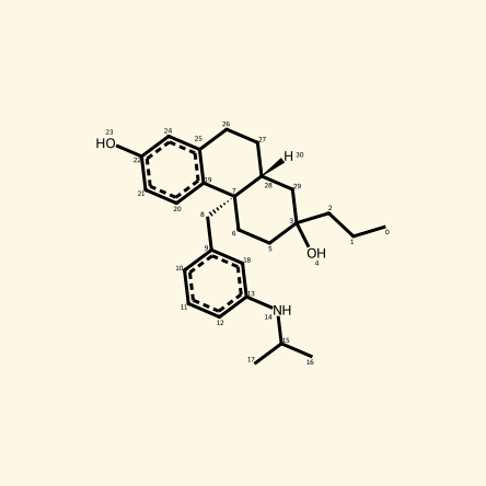 CCCC1(O)CC[C@@]2(Cc3cccc(NC(C)C)c3)c3ccc(O)cc3CC[C@@H]2C1